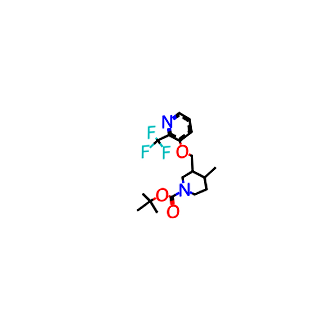 CC1CCN(C(=O)OC(C)(C)C)CC1COc1cccnc1C(F)(F)F